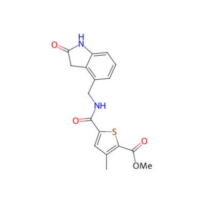 COC(=O)c1sc(C(=O)NCc2cccc3c2CC(=O)N3)cc1C